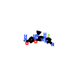 CNC(=O)C1CCC(NC(=O)c2cnc(Nc3ncc(C#N)cc3F)cc2NC2CC2)CC1